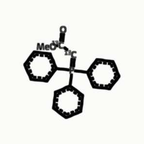 CO[13C](=O)[13CH]=P(c1ccccc1)(c1ccccc1)c1ccccc1